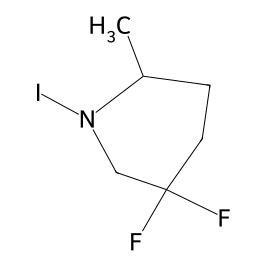 CC1CCC(F)(F)CN1I